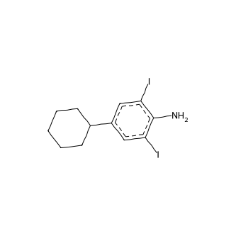 Nc1c(I)cc(C2CCCCC2)cc1I